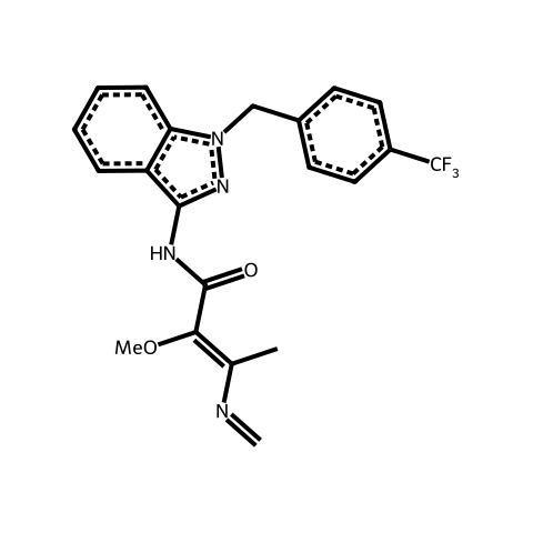 C=N/C(C)=C(\OC)C(=O)Nc1nn(Cc2ccc(C(F)(F)F)cc2)c2ccccc12